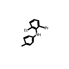 CCc1cccc(C(C)C)c1Nc1ccc(C)cc1